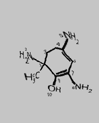 CC1(N)CC(N)=CC(N)=C1O